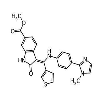 COC(=O)c1ccc2c(c1)NC(=O)C2=C(Nc1ccc(-c2nccn2C)cc1)c1ccsc1